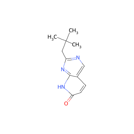 CC(C)(C)Cc1ncc2ccc(=O)[nH]c2n1